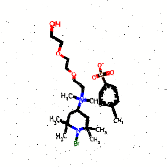 CC1(C)CC([N+](C)(C)CCOCCOCCO)CC(C)(C)N1Br.Cc1ccc(S(=O)(=O)[O-])cc1